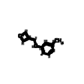 Cc1cccc(OCC2COC2)c1